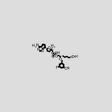 CCCCCCCCCCCCCC[C@@H](COP(=O)(O)OC[C@]1(C)CC[C@H](c2ccc3c(N)ncnn23)O1)OCc1cc(F)cc(C#N)c1